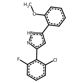 COc1ccccc1-c1cc(-c2c(F)cccc2Cl)n[nH]1